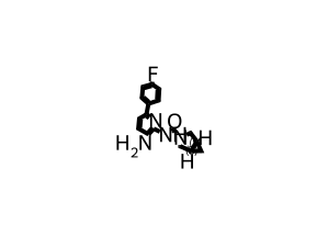 Nc1ccc(-c2ccc(F)cc2)nc1NC(=O)N1C[C@H]2C[C@H]2C1